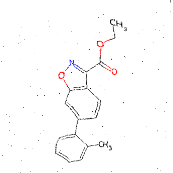 CCOC(=O)c1noc2cc(-c3ccccc3C)ccc12